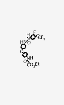 CCOC(=O)CC(=O)Nc1ccc(OC2CCC(NC(=O)Nc3ccc(OC(F)(F)F)c(F)c3)CC2)cc1